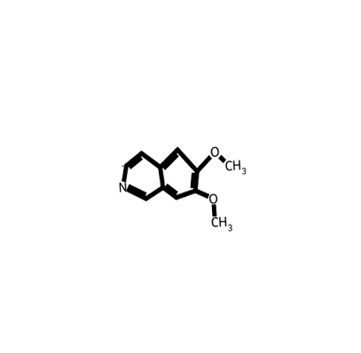 COc1cc2c[c]ncc2cc1OC